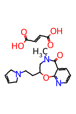 CN1CC(CCN2CC=CC2)Oc2ncccc2C1=O.O=C(O)C=CC(=O)O